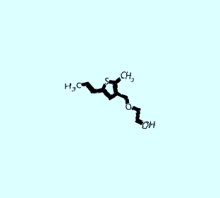 C/C=C/c1cc(COCCO)c(C)s1